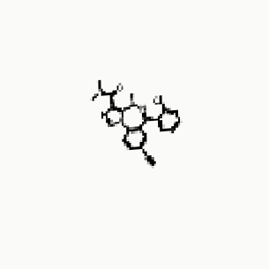 C#Cc1ccc2c(c1)C(c1ccccc1Cl)=N[C@H](C)c1c(C(=O)N(C)C)ncn1-2